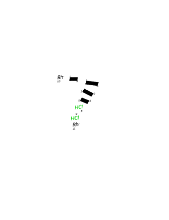 C=C.C=C.C=C.C=C.Cl.Cl.[Rh].[Rh]